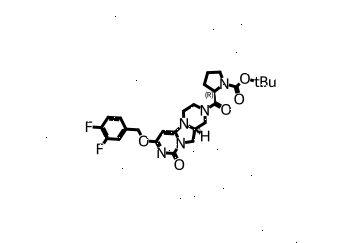 CC(C)(C)OC(=O)N1CCC[C@@H]1C(=O)N1CCN2c3cc(OCc4ccc(F)c(F)c4)nc(=O)n3C[C@H]2C1